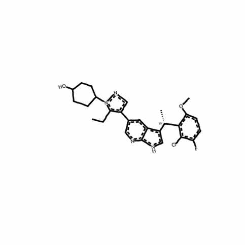 CCc1c(-c2cnc3[nH]cc([C@H](C)c4c(OC)ccc(F)c4Cl)c3c2)cnn1C1CCC(O)CC1